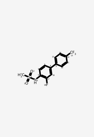 CS(=O)(=O)Nc1ccc(-c2ccc(C(F)(F)F)cc2)cc1F